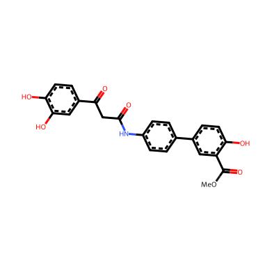 COC(=O)c1cc(-c2ccc(NC(=O)CC(=O)c3ccc(O)c(O)c3)cc2)ccc1O